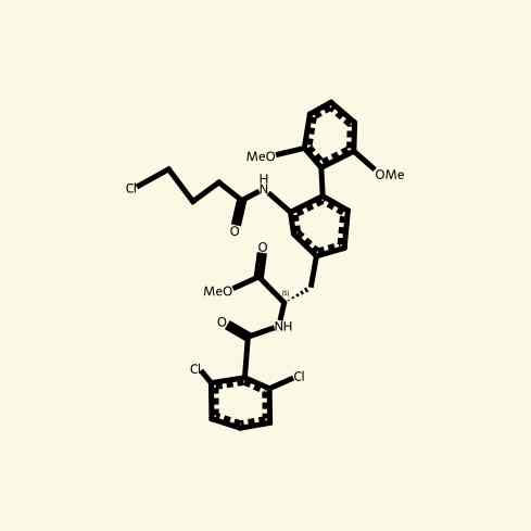 COC(=O)[C@H](Cc1ccc(-c2c(OC)cccc2OC)c(NC(=O)CCCCl)c1)NC(=O)c1c(Cl)cccc1Cl